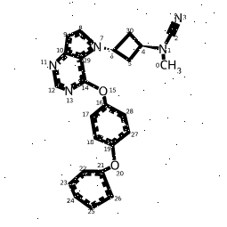 CN(C#N)[C@H]1C[C@H](n2ccc3ncnc(Oc4ccc(Oc5ccccc5)cc4)c32)C1